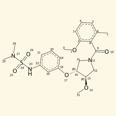 COc1cccc(C)c1C(=O)N1C[C@@H](OC)[C@H](Oc2cccc(NS(=O)(=O)N(C)C)c2)C1